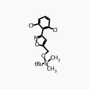 CC(C)(C)[Si](C)(C)OCc1cc(-c2c(Cl)cccc2Cl)no1